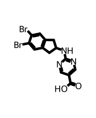 O=C(O)c1cnc(NC2Cc3cc(Br)c(Br)cc3C2)nc1